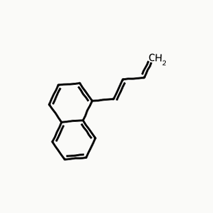 C=CC=Cc1cccc2ccccc12